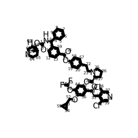 O=C(N[C@@H](c1ccccc1)c1cccc(C(=O)Oc2ccc(CCN3CCC[C@H]3C(=O)O[C@@H](Cc3c(Cl)cncc3Cl)c3ccc(OC(F)F)c(OCC4CC4)c3)cc2)c1)O[C@H]1CN2CCC1CC2